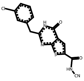 N#CNC(=O)c1cc2c(=O)[nH]c(Cc3cccc(Cl)c3)nc2s1